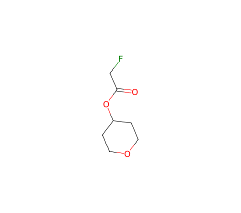 O=C(CF)OC1CCOCC1